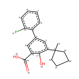 CC1(c2cc(-c3ccccc3F)cc(C(=O)O)c2O)CCCC1